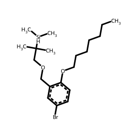 CCCCCCCOc1ccc(Br)cc1COCC(C)(C)[SiH](C)C